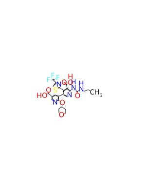 CCCNC(=O)Nc1ncc(-c2cc(C(=O)O)cnc2OC2CCOCC2)c(-c2nc(C(F)(F)F)cs2)c1C(=O)O